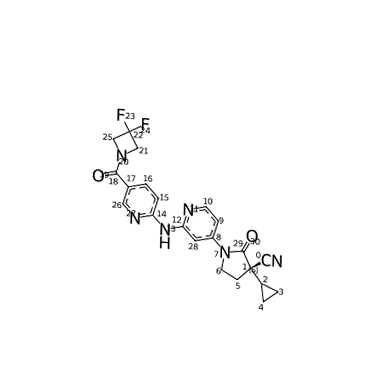 N#C[C@@]1(C2CC2)CCN(c2ccnc(Nc3ccc(C(=O)N4CC(F)(F)C4)cn3)c2)C1=O